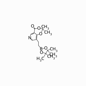 CC1(C)OC(=O)c2cncc(CCB3OC(C)(C)C(C)(C)O3)c2O1